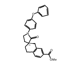 COC(=O)c1ccc2c(c1)C[C@@]1(CC2)CCN(c2ccc(Oc3ccccc3)cc2)C1=O